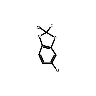 Clc1ccc2c(c1)OC(Cl)(Cl)O2